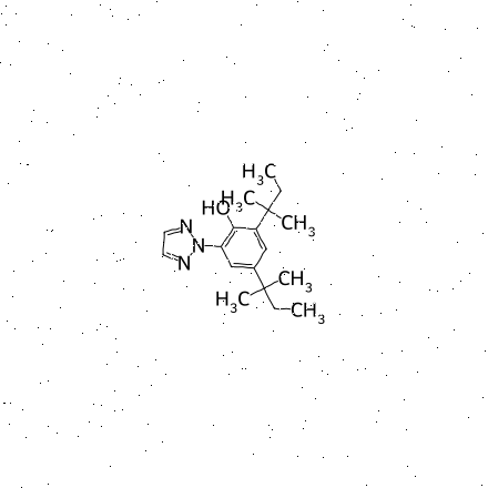 CCC(C)(C)c1cc(-n2nccn2)c(O)c(C(C)(C)CC)c1